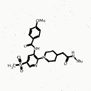 COc1ccc(C(=O)Nc2cc(S(C)(=O)=O)cnc2N2CCC(CC(=O)NC(C)(C)C)CC2)cc1